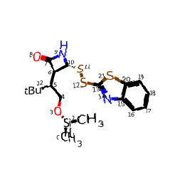 C[SiH](C)OC[C@H]([C@H]1C(=O)N[C@@H]1SSc1nc2ccccc2s1)C(C)(C)C